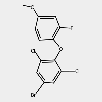 COc1ccc(Oc2c(Cl)cc(Br)cc2Cl)c(F)c1